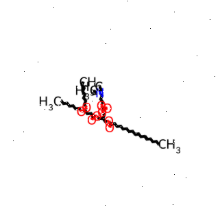 CCCCCC=CCC=CCCCCCCCC(=O)OCC(COC(=O)CCC(OCCCCCCCC)OCCCCCCCC)COC(=O)OCCCN(CC)CC